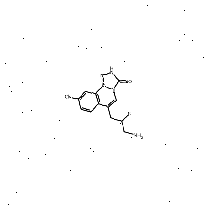 NCC(F)Cc1cn2c(=O)[nH]nc2c2cc(Cl)ccc12